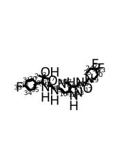 CC(C)(O)[C@@H](NC(=O)Nc1cc2[nH]nc(NC(=O)N3CCC(F)(F)CC3)c2cn1)c1ccc(F)cc1